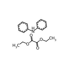 CCOC(=O)C(=O)OCC.c1ccc(Nc2ccccc2)cc1